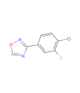 Fc1cc(-c2n[c]on2)ccc1Cl